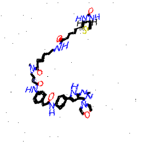 CN(C/C=C/C(=O)Nc1ccc(CC(=O)Nc2ccc(-c3cc4c(N5CCOCC5)ncnc4[nH]3)cc2)cc1)C(=O)CCCCCNC(=O)CCCC[C@@H]1SC[C@@H]2NC(=O)N[C@@H]21